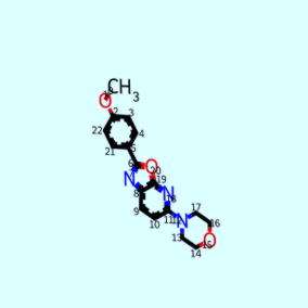 COc1ccc(-c2nc3ccc(N4CCOCC4)nc3o2)cc1